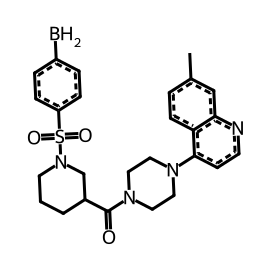 Bc1ccc(S(=O)(=O)N2CCCC(C(=O)N3CCN(c4ccnc5cc(C)ccc45)CC3)C2)cc1